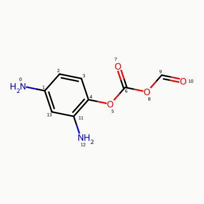 Nc1ccc(OC(=O)OC=O)c(N)c1